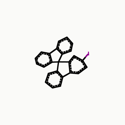 Ic1ccc2c(c1)C1(c3ccccc3-c3ccccc31)c1ccccc1-2